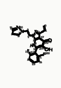 CCc1nn(CCn2cccn2)c2[nH]c(-c3c(F)cccc3F)c(O)c(=O)c12